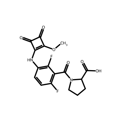 COc1c(Nc2ccc(F)c(C(=O)N3CCCC3C(=O)O)c2F)c(=O)c1=O